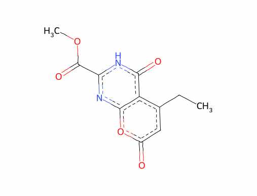 CCc1cc(=O)oc2nc(C(=O)OC)[nH]c(=O)c12